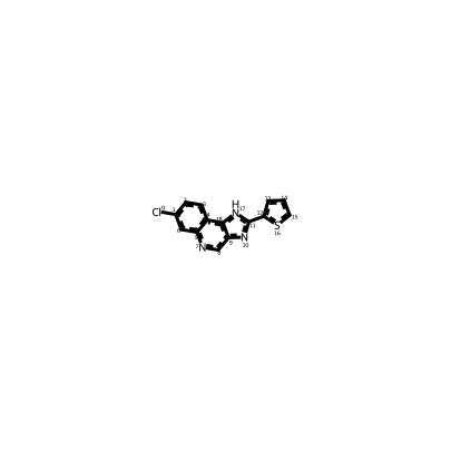 Clc1ccc2c(c1)ncc1nc(-c3cccs3)[nH]c12